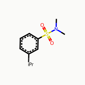 CC(C)c1cccc(S(=O)(=O)N(C)C)c1